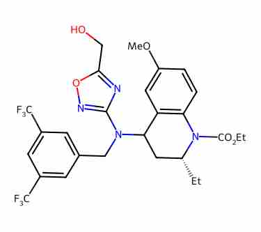 CCOC(=O)N1c2ccc(OC)cc2C(N(Cc2cc(C(F)(F)F)cc(C(F)(F)F)c2)c2noc(CO)n2)C[C@H]1CC